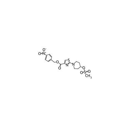 CS(=O)(=O)OC1CCN(c2nc(C(=O)OCc3ccc([N+](=O)[O-])cc3)cs2)CC1